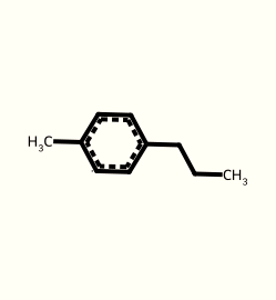 CCCc1c[c]c(C)cc1